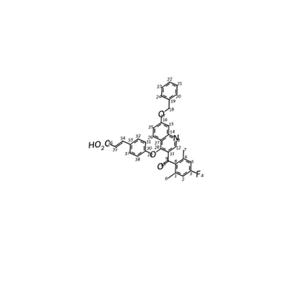 Cc1cc(F)cc(C)c1C(=O)c1cnc2cc(OCc3ccccc3)ccc2c1Oc1ccc(/C=C/C(=O)O)cc1